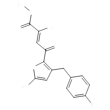 COC(=O)C(O)=CC(=O)c1oc(C)cc1Cc1ccc(F)cc1